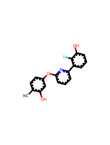 N#Cc1ccc(Oc2cccc(-c3cccc(O)c3F)n2)cc1O